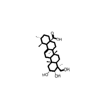 C[C@@H]1CC[C@]2(C(=O)O)CC[C@]3(C)C(=CCC4[C@@]5(C)C[C@@H](O)[C@@H](O)[C@](C)(CO)C5CC[C@]43C)C2[C@H]1C